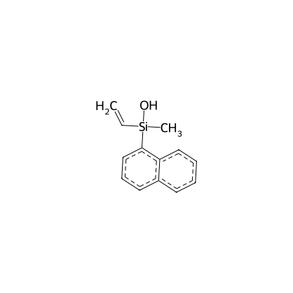 C=C[Si](C)(O)c1cccc2ccccc12